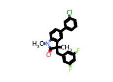 CN1C(=O)C(C)(Cc2cc(F)cc(F)c2)c2cc(-c3cccc(Cl)c3)ccc21